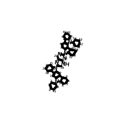 c1ccc(-n2c3ccccc3c3cc4c(cc32)c2ccccc2n4C2=Nc3cnc(-n4c5ccccc5c5c4ccc4c6ccccc6n(-c6ccccc6)c45)nc3NC2)cc1